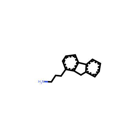 NCCCc1cccc2c1Cc1ccccc1-2